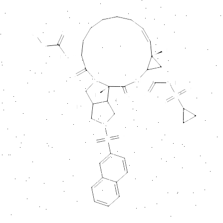 CC(C)(C)OC(=O)N[C@@H]1CCCCC/C=C\[C@@H]2C[C@@]2(C(=O)NS(=O)(=O)C2CC2)NC(=O)[C@@H]2[C@H]3CN(S(=O)(=O)c4ccc5ccccc5c4)C[C@H]3CN2C1=O